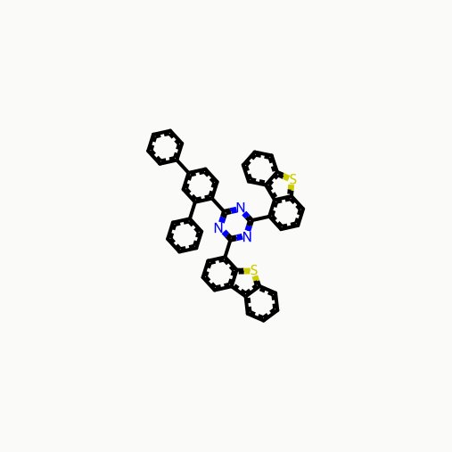 c1ccc(-c2ccc(-c3nc(-c4cccc5c4sc4ccccc45)nc(-c4cccc5sc6ccccc6c45)n3)c(-c3ccccc3)c2)cc1